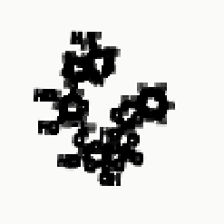 Nc1ncnc2c1ncn2[C@@H]1O[C@H](COP(=O)(O)OP(=O)(O)OP(=O)(O)OP(=O)(O)OCc2ccccc2)C(O)[C@@H]1O